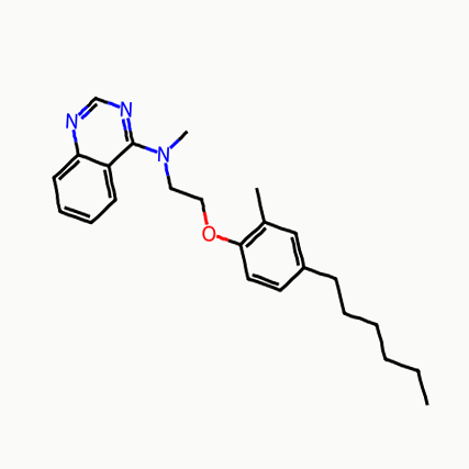 CCCCCCc1ccc(OCCN(C)c2ncnc3ccccc23)c(C)c1